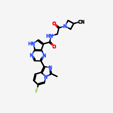 Cc1nc(-c2cnc3[nH]cc(C(=O)NCC(=O)N4CC(C#N)C4)c3n2)c2ccc(F)cn12